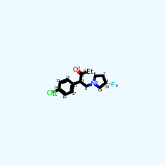 CCC(=O)C(CN1CC[C@H](F)C1)c1ccc(Cl)cc1